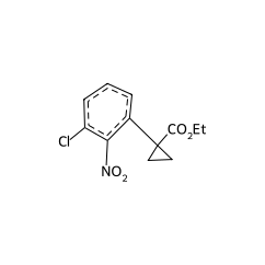 CCOC(=O)C1(c2cccc(Cl)c2[N+](=O)[O-])CC1